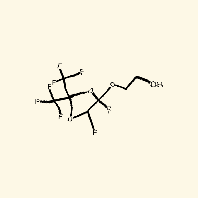 OCCOC1(F)OC(C(F)(F)F)(C(F)(F)F)OC1F